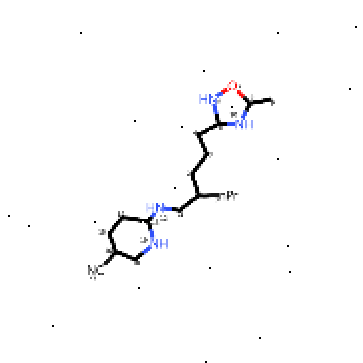 CCCC(CCCC1NOC(C)N1)CNC1CCC(C#N)CN1